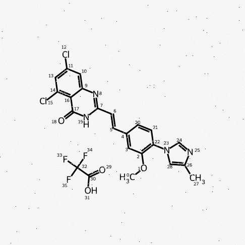 COc1cc(/C=C/c2nc3cc(Cl)cc(Cl)c3c(=O)[nH]2)ccc1-n1cnc(C)c1.O=C(O)C(F)(F)F